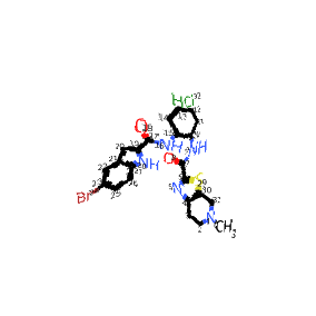 CN1CCc2nc(C(=O)NC3CCCCC3NC(=O)c3cc4cc(Br)ccc4[nH]3)sc2C1.Cl